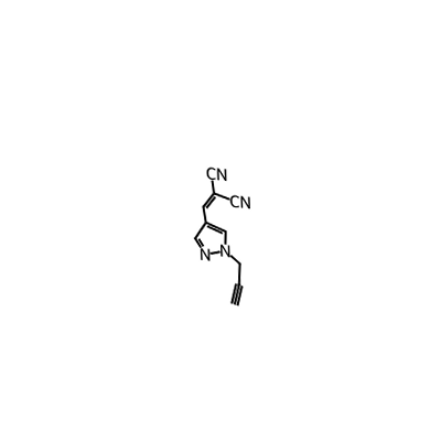 C#CCn1cc(C=C(C#N)C#N)cn1